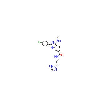 CCNc1nc(-c2ccc(F)cc2)nc2cc(C(=O)NCCCc3ncc[nH]3)ccc12